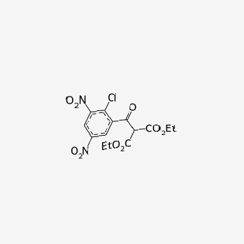 CCOC(=O)C(C(=O)OCC)C(=O)c1cc([N+](=O)[O-])cc([N+](=O)[O-])c1Cl